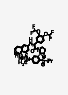 CC(C)S(=O)(=O)c1ccc(N(C)C(=O)O)cc1[C@H]1CCCN1C(=O)[C@H](Nc1ccc2c(N)nccc2c1)c1ccc(OC(F)F)c(OC(F)F)c1